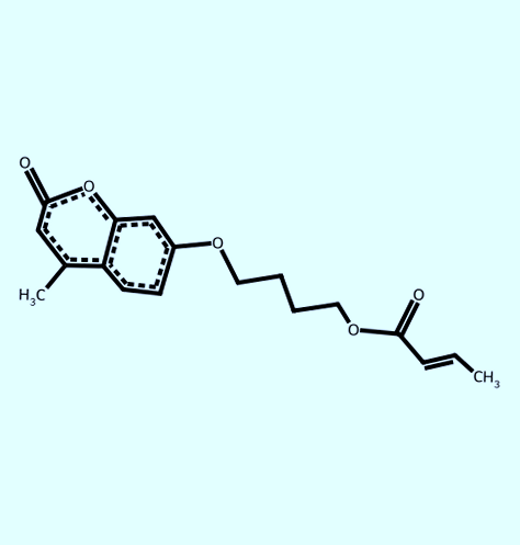 CC=CC(=O)OCCCCOc1ccc2c(C)cc(=O)oc2c1